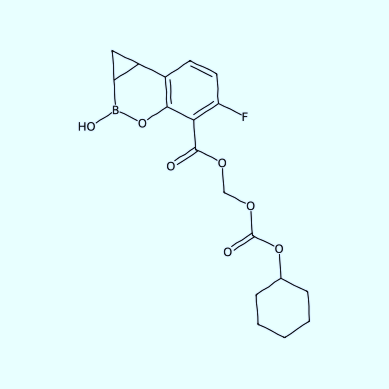 O=C(OCOC(=O)c1c(F)ccc2c1OB(O)C1CC21)OC1CCCCC1